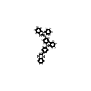 c1ccc2nc(-c3ccc(-n4c5ccccc5c5cc(-n6c7ccccc7n7c8ccccc8nc67)ccc54)cc3)cnc2c1